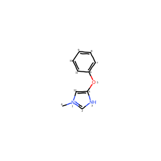 C[n+]1c[nH]c(Oc2ccccc2)c1